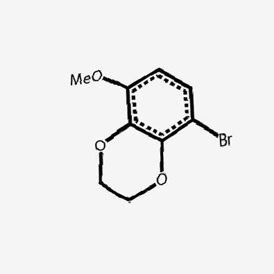 COc1ccc(Br)c2c1OC[CH]O2